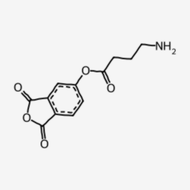 NCCCC(=O)Oc1ccc2c(c1)C(=O)OC2=O